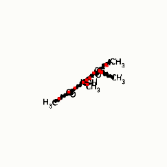 CCCCCCCCCOC(=O)CCCCCCCN(CCCCCCCC(=O)OC(CCCCCCCC)CCCCCCCC)CC(C)O